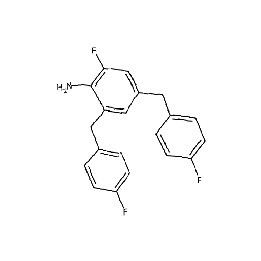 Nc1c(F)cc(Cc2ccc(F)cc2)cc1Cc1ccc(F)cc1